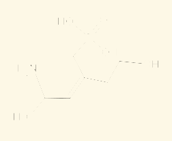 CC(N)C=C(CCO)CP(=O)(O)O